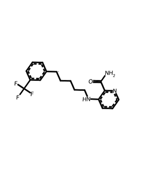 NC(=O)c1ncccc1NCCCC[CH]c1cccc(C(F)(F)F)c1